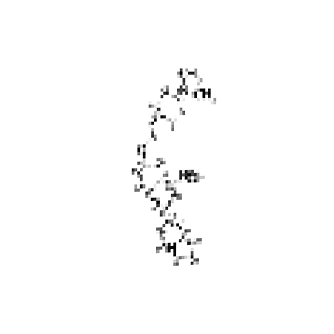 CN(C)C1CCN(CCOc2ccc3oc(-c4cc5cccn5cn4)cc(=NO)c3c2)CC1